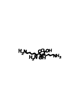 NCCCC[C@H](N)C(=O)N(O)[C@@H](CCCCN)C(=O)O